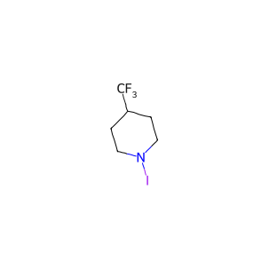 FC(F)(F)C1CCN(I)CC1